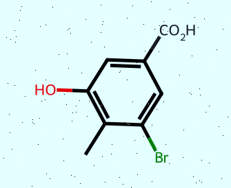 Cc1c(O)cc(C(=O)O)cc1Br